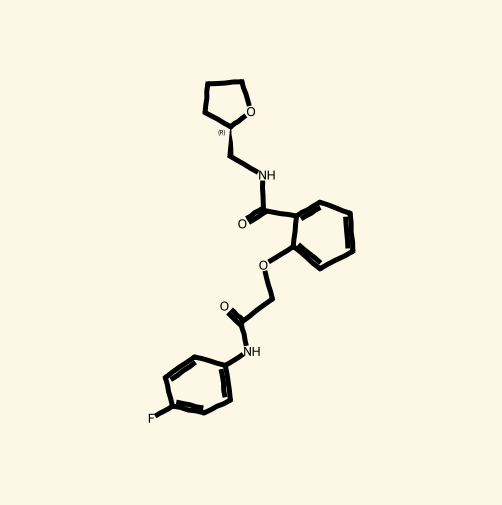 O=C(COc1ccccc1C(=O)NC[C@H]1CCCO1)Nc1ccc(F)cc1